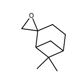 CC1(C)C2CCC3(CO3)C1C2